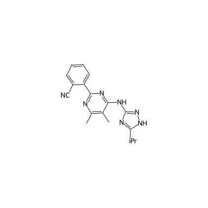 Cc1nc(-c2ccccc2C#N)nc(Nc2n[nH]c(C(C)C)n2)c1C